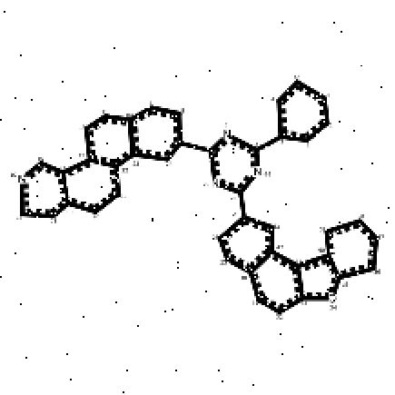 c1ccc(-c2nc(-c3ccc4ccc5c6cnccc6ccc5c4c3)nc(-c3ccc4ccc5oc6ccccc6c5c4c3)n2)cc1